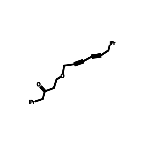 CC(C)CC#CC#CCOCCC(=O)CC(C)C